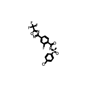 CS(=O)(=NC(=O)c1ccc(-c2noc(C(F)(F)F)n2)cc1F)c1ccc(Cl)cc1